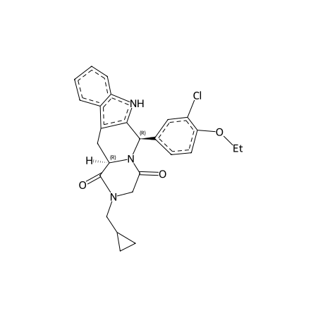 CCOc1ccc([C@@H]2c3[nH]c4ccccc4c3C[C@@H]3C(=O)N(CC4CC4)CC(=O)N23)cc1Cl